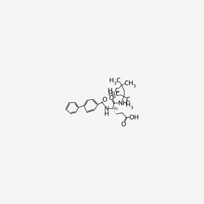 CC(C)(C)CC(C)(C)NC(=O)[C@H](CCC(=O)O)NC(=O)c1ccc(-c2ccccc2)cc1